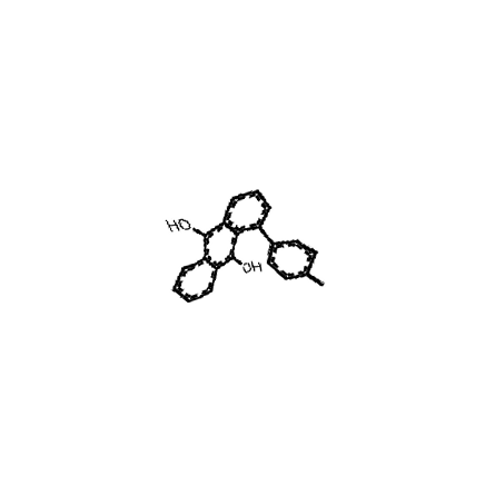 Cc1ccc(-c2cccc3c(O)c4ccccc4c(O)c23)cc1